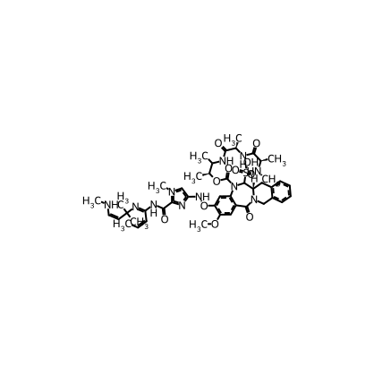 C/C=C\C(=N/C(C)(C)/C=C\NC)NC(=O)c1nc(NOc2cc3c(cc2OC)C(=O)N2Cc4ccccc4C[C@H]2C(S(=O)(=O)O)N3C(=O)O[C@@H](C)C(C)NC(=O)[C@@H](C)NC(=O)[C@@H](C)NC)cn1C